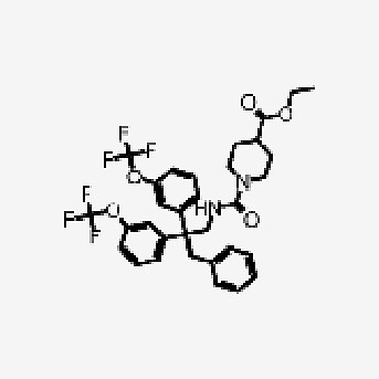 CCOC(=O)C1CCN(C(=O)NCC(Cc2ccccc2)(c2cccc(OC(F)(F)F)c2)c2cccc(OC(F)(F)F)c2)CC1